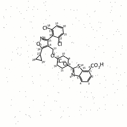 O=C(O)c1cccc2nc(C34CCC(OCc5c(-c6c(Cl)cccc6Cl)noc5C5CC5)(CC3)CO4)sc12